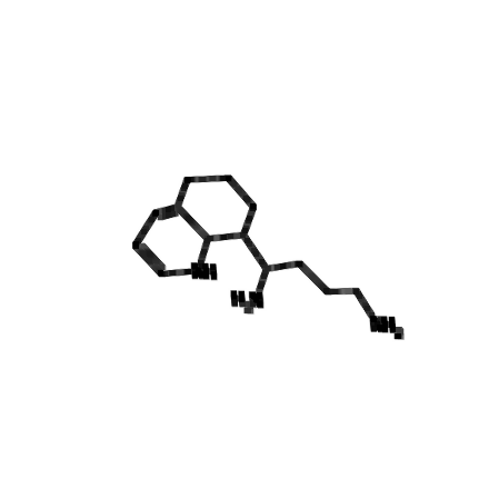 NCCCC(N)C1CCCC2=CC=CNC21